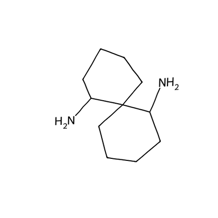 NC1CCCCC12CCCCC2N